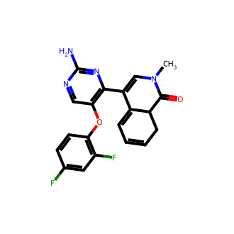 CN1C=C(c2nc(N)ncc2Oc2ccc(F)cc2F)C2=CC=CCC2C1=O